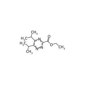 CCOC(=O)c1nnc(C(C)C)c(C(C)C)n1